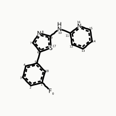 Fc1cccc(-c2cnc(Nc3ccccn3)s2)c1